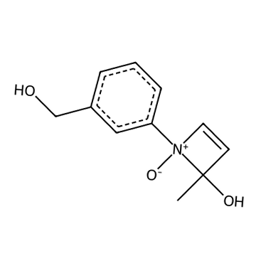 CC1(O)C=C[N+]1([O-])c1cccc(CO)c1